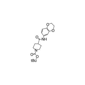 CC(C)(C)OC(=O)N1CCC(C(=O)Nc2ccc3c(c2)OCCO3)CC1